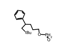 CC(C)(C)CC(CCCO[PH2]=O)c1ccccc1